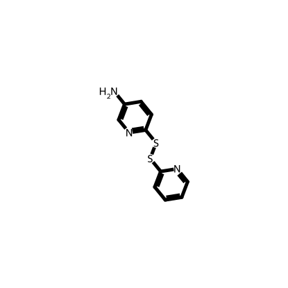 Nc1ccc(SSc2ccccn2)nc1